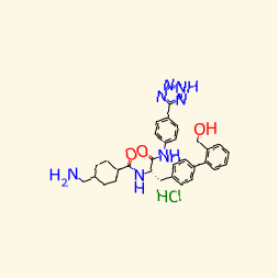 Cl.NCC1CCC(C(=O)N[C@@H](Cc2ccc(-c3ccccc3CO)cc2)C(=O)Nc2ccc(-c3nn[nH]n3)cc2)CC1